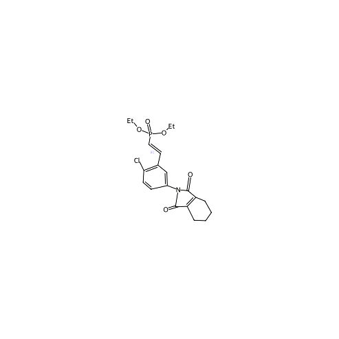 CCOP(=O)(/C=C/c1cc(N2C(=O)C3=C(CCCC3)C2=O)ccc1Cl)OCC